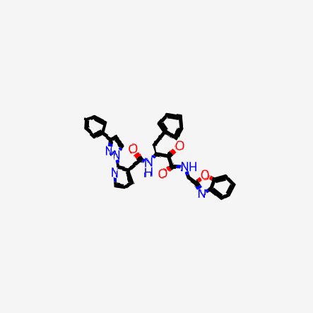 O=C(NCc1nc2ccccc2o1)C(=O)[C@H](Cc1ccccc1)NC(=O)c1cccnc1-n1ccc(-c2ccccc2)n1